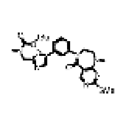 CSc1ncc2c(n1)N(C)CCN(c1cccc(-c3cnc(CN(C)C(=O)OC(C)(C)C)o3)c1)C2=O